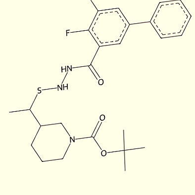 Cc1cc(-c2ccccc2)cc(C(=O)NNSC(C)C2CCCN(C(=O)OC(C)(C)C)C2)c1F